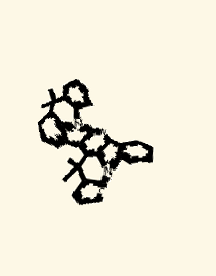 CC1(C)c2ccccc2-n2c3ccccc3c3nc4c(c1c32)c1cccc2c1n4-c1ccccc1C2(C)C